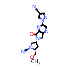 COC[C@@H]1C[C@@H](N2Cc3ncc(-n4cc(C#N)cn4)nc3C2=O)CN1C#N